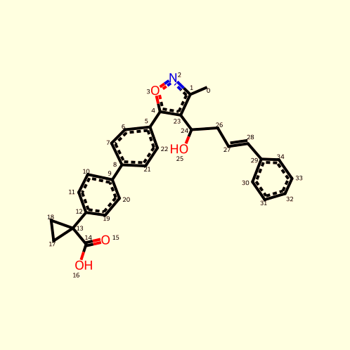 Cc1noc(-c2ccc(-c3ccc(C4(C(=O)O)CC4)cc3)cc2)c1C(O)CC=Cc1ccccc1